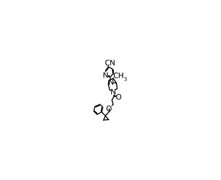 C[C@H]1CC2CN(C(=O)CCOCC3(c4ccccc4)CC3)CC1N2c1ccc(C#N)cn1